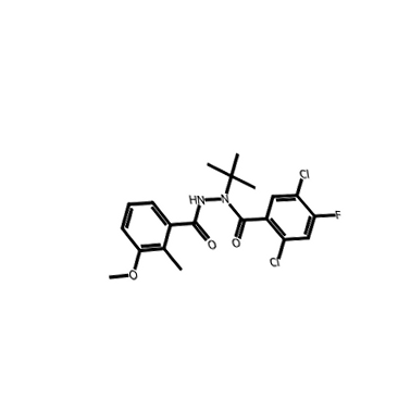 COc1cccc(C(=O)NN(C(=O)c2cc(Cl)c(F)cc2Cl)C(C)(C)C)c1C